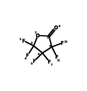 O=C1OC(F)(F)C(F)(F)C1(F)F